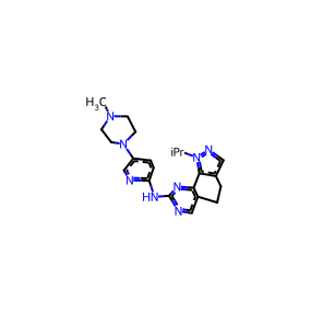 CC(C)n1ncc2c1-c1nc(Nc3ccc(N4CCN(C)CC4)cn3)ncc1CC2